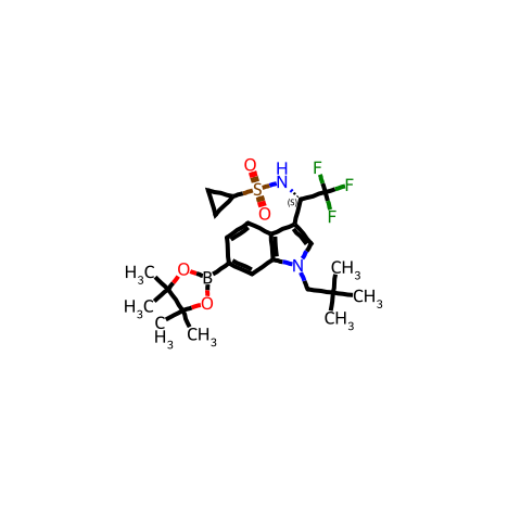 CC(C)(C)Cn1cc([C@H](NS(=O)(=O)C2CC2)C(F)(F)F)c2ccc(B3OC(C)(C)C(C)(C)O3)cc21